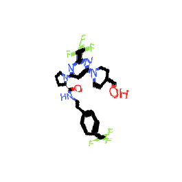 O=C(NCCc1ccc(C(F)(F)F)cc1)[C@@H]1CCCN1c1cc(N2CCC(CO)CC2)nc(C(F)(F)F)n1